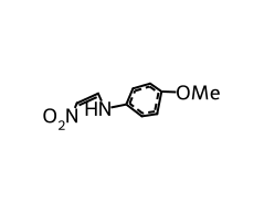 COc1ccc(N/C=C\[N+](=O)[O-])cc1